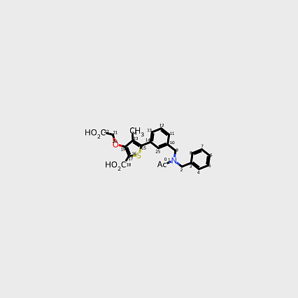 CC(=O)N(Cc1ccccc1)Cc1cccc(-c2sc(C(=O)O)c(OCC(=O)O)c2C)c1